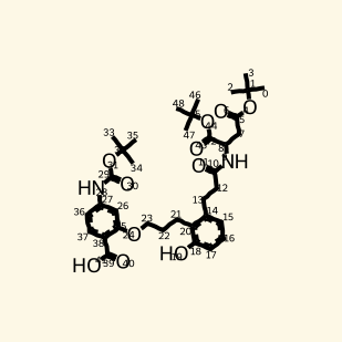 CC(C)(C)OC(=O)CC(NC(=O)CCc1cccc(O)c1CCCOc1cc(NC(=O)OC(C)(C)C)ccc1C(=O)O)C(=O)OC(C)(C)C